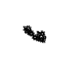 [2H]C([2H])([2H])N1C(=O)c2cccc(C#C)c2[C@H]2C[C@@H]1c1nc3ccc(-c4cnc(C(CC)(CC)N[S+]([O-])C(C)(C)C)nc4)cc3n12